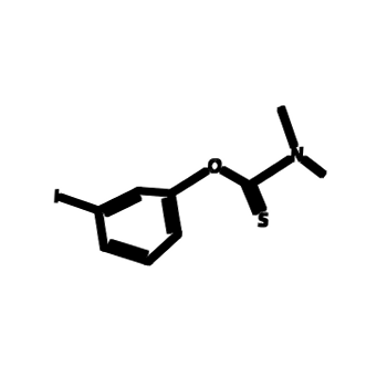 CN(C)C(=S)Oc1cccc(I)c1